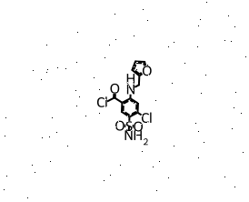 NS(=O)(=O)c1cc(C(=O)Cl)c(NCc2ccco2)cc1Cl